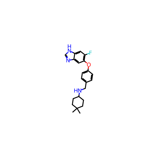 CC1(C)CCC(NCc2ccc(Oc3cc4nc[nH]c4cc3F)cc2)CC1